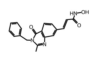 Cc1nc2cc(/C=C/C(=O)NO)ccc2c(=O)n1Cc1ccccc1